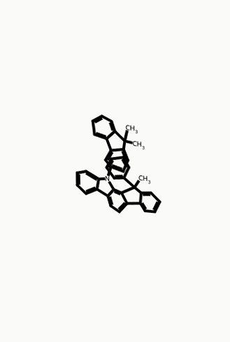 CC1(C)c2ccccc2-c2cc(-n3c4ccccc4c4ccc5c(c43)C(C)(c3ccccc3)c3ccccc3-5)ccc21